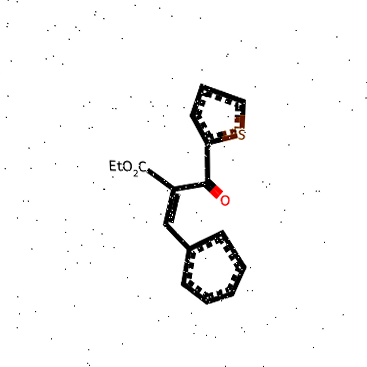 CCOC(=O)/C(=C/c1ccccc1)C(=O)c1cccs1